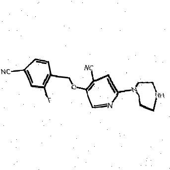 N#Cc1ccc(COc2cnc(N3CCNCC3)cc2C#N)c(F)c1